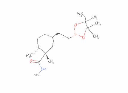 C[C@@H]1CC[C@@H](CCB2OC(C)(C)C(C)(C)O2)C[C@]1(C)C(=O)NC(C)(C)C